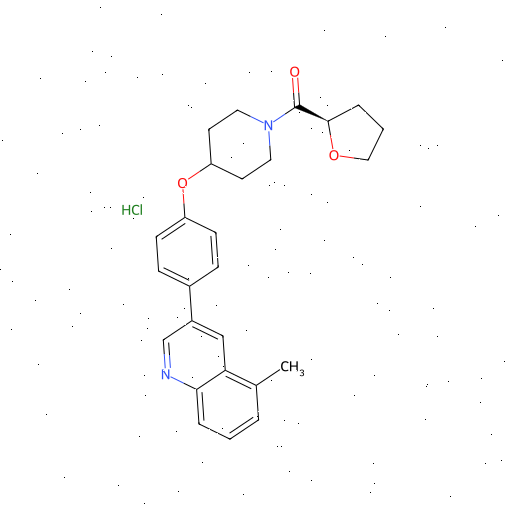 Cc1cccc2ncc(-c3ccc(OC4CCN(C(=O)[C@H]5CCCO5)CC4)cc3)cc12.Cl